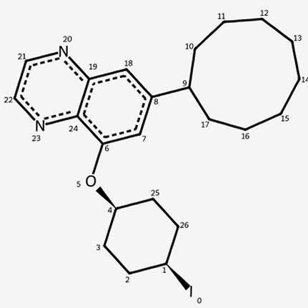 I[C@H]1CC[C@@H](Oc2cc(C3CCCCCCCC3)cc3nccnc23)CC1